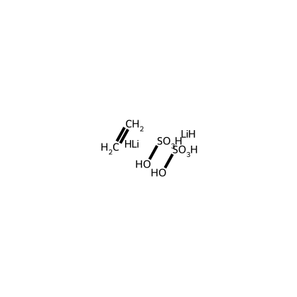 C=C.O=S(=O)(O)O.O=S(=O)(O)O.[LiH].[LiH]